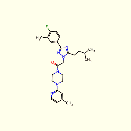 Cc1ccnc(N2CCN(C(=O)Cn3nc(-c4ccc(F)c(C)c4)nc3CCC(C)C)CC2)c1